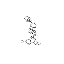 O=C(NS(=O)(=O)c1cccc(N2CC3CCC(C2)O3)n1)C1(Oc2cc(Cl)ccc2C2CC3(CCC3)C2)CC1